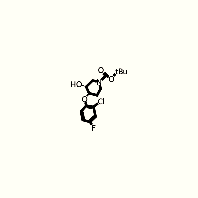 CC(C)(C)OC(=O)N1CC[C@@H](Oc2ccc(F)cc2Cl)[C@H](O)C1